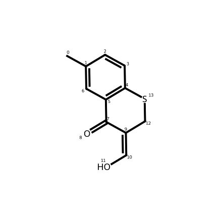 Cc1ccc2c(c1)C(=O)C(=CO)CS2